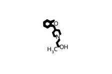 CC(O)CCN1CCC(c2occ3ccccc23)CC1